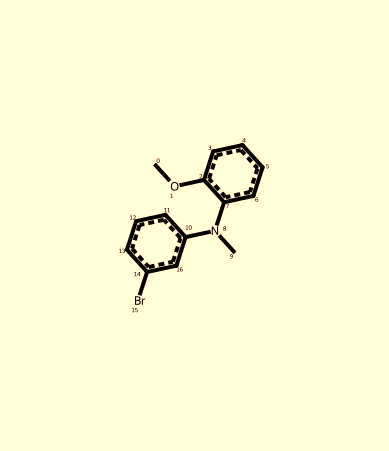 COc1ccccc1N(C)c1cccc(Br)c1